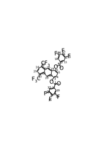 O=C(Oc1ccc(OC(=O)c2cc(F)c(F)c(F)c2)c2cc3c(C(F)(F)F)ccc(C(F)(F)F)c3cc12)c1cc(F)c(F)c(F)c1